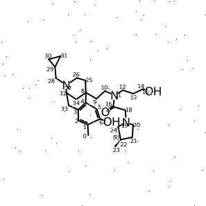 Cc1cc2c(cc1O)C1(CCN(CCCO)C(=O)CN3CC[C@@H](C)C3)CCN(CC3CC3)C(C2)C1